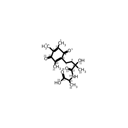 CC1=C(C)C(=O)C(CCC(C)(O)C(=O)NC(C)C(=O)O)=C(C)C1=O